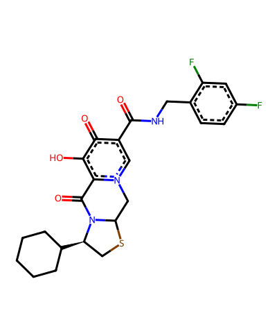 O=C(NCc1ccc(F)cc1F)c1cn2c(c(O)c1=O)C(=O)N1C(C2)SC[C@H]1C1CCCCC1